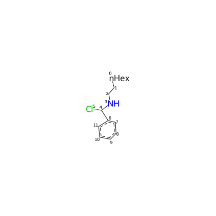 CCCCCCCCNC(Cl)c1ccccc1